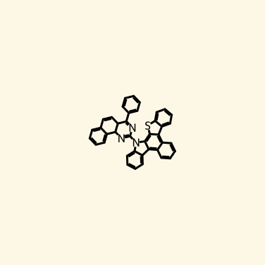 C1=CC2C(c3ccccc3)=NC(n3c4ccccc4c4c5ccccc5c5c6ccccc6sc5c43)=NC2c2ccccc21